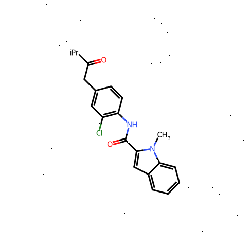 CC(C)C(=O)Cc1ccc(NC(=O)c2cc3ccccc3n2C)c(Cl)c1